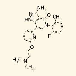 Cc1cccc(F)c1-n1cc(-c2cccc(OCCN(C)C)n2)c2[nH]nc(N)c2c1=O